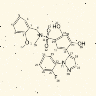 COc1ccccc1CN(C)S(=O)(=O)c1cc(-c2ccnn2-c2ccccc2F)c(O)cc1O